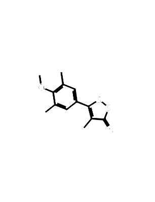 COc1c(C)cc(-c2ssc(=S)c2C)cc1C